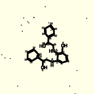 Oc1cccc(NCC(O)c2ccccc2)c1NCC(O)c1ccccc1